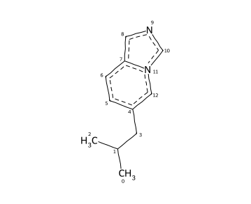 CC(C)Cc1ccc2cncn2c1